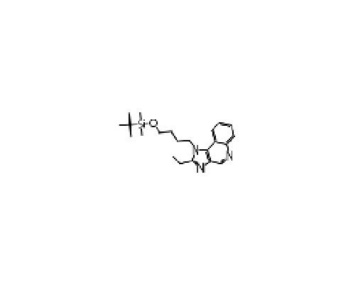 CCc1nc2cnc3ccccc3c2n1CCCCO[Si](C)(C)C(C)(C)C